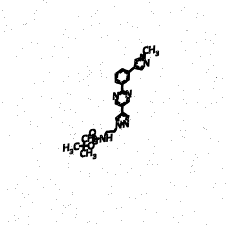 Cn1cc(-c2cccc(-c3ncc(-c4cnn(CCNC(=O)OC(C)(C)C)c4)cn3)c2)cn1